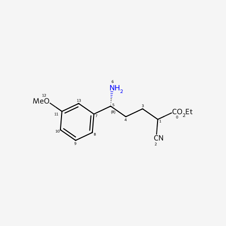 CCOC(=O)C(C#N)CC[C@@H](N)c1cccc(OC)c1